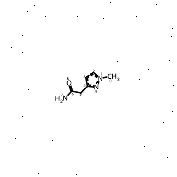 Cn1ccc([CH]C(N)=O)n1